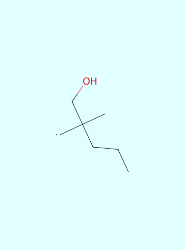 [CH2]C(C)(CO)CCC